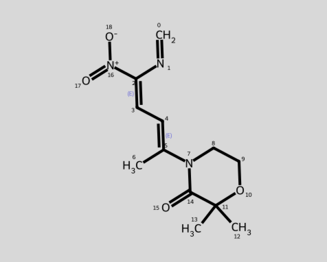 C=N/C(=C\C=C(/C)N1CCOC(C)(C)C1=O)[N+](=O)[O-]